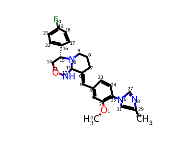 COc1cc(/C=C2\CCCN3C2NOC[C@@H]3c2ccc(F)cc2)ccc1-n1cnc(C)c1